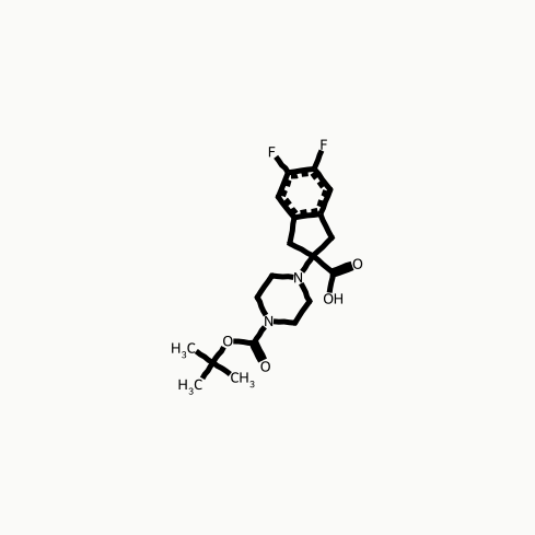 CC(C)(C)OC(=O)N1CCN(C2(C(=O)O)Cc3cc(F)c(F)cc3C2)CC1